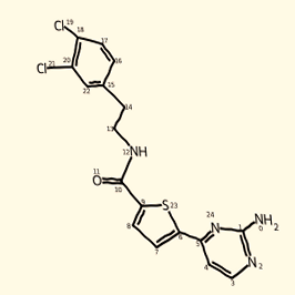 Nc1nccc(-c2ccc(C(=O)NCCc3ccc(Cl)c(Cl)c3)s2)n1